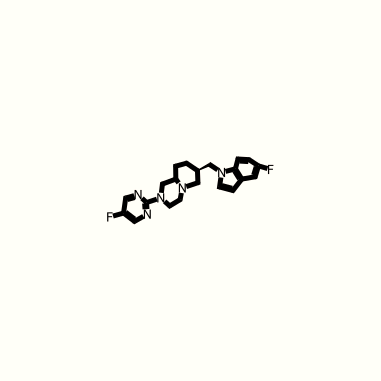 Fc1cnc(N2CCN3C[C@H](Cn4ccc5cc(F)ccc54)CCC3C2)nc1